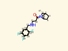 C[C@@H]1C2CCC(C2)N1C(=O)CCNCc1cc(F)c(F)cc1F